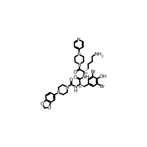 NCCCC[C@H](NC(=O)[C@@H](Cc1cc(Br)c(O)c(Br)c1)NC(=O)N1CCN(c2ccc3c(c2)OCO3)CC1)C(=O)N1CCN(c2ccncc2)CC1